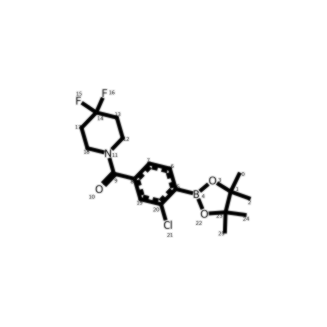 CC1(C)OB(c2ccc(C(=O)N3CCC(F)(F)CC3)cc2Cl)OC1(C)C